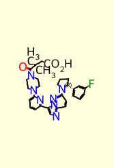 CC(C)(CC(=O)O)C(=O)N1CCN(c2cccc(-c3cnc4ccc(N5CCC[C@@H]5c5cccc(F)c5)nn34)n2)CC1